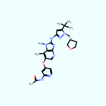 CC(=O)Nc1cc(Oc2cnc3nc(Nc4cc(C(C)(C)C)n(C[C@@H]5CCOC5)n4)n(C)c3c2C)ccn1